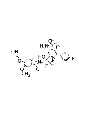 COc1cc(C(=O)NCC(O)(c2cc3c(c(-c4ccc(F)cc4)n2)OC[C@@]3(C)N)C(F)(F)F)ncc1OCCO